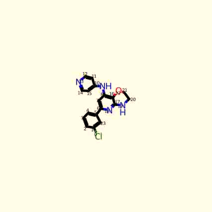 Clc1cccc(-c2cc(Nc3ccncc3)c3c(n2)NCCO3)c1